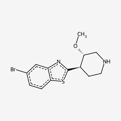 CO[C@@H]1CNCC[C@H]1c1nc2cc(Br)ccc2s1